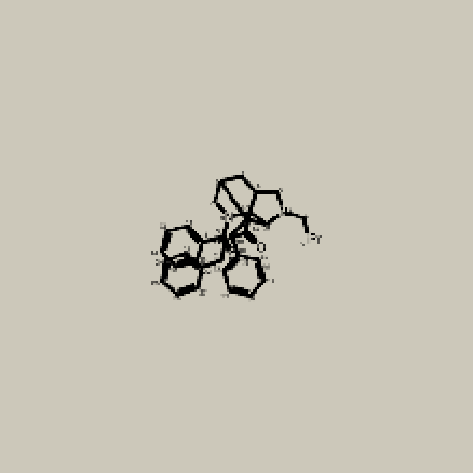 CC(C)CN1CC2CC3CN(C(=O)c4ccccc4)C2(C(=O)NCc2ccccc2)C1C3Cc1ccccc1